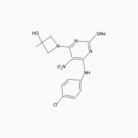 CSc1nc(Nc2ccc(Cl)cc2)c([N+](=O)[O-])c(N2CC(C)(O)C2)n1